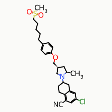 C[C@@H]1C[C@H](COc2ccc(CCCCCS(C)(=O)=O)cc2)CN1C1CCc2c(C#N)cc(Cl)cc2C1